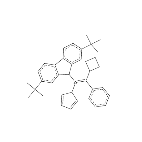 CC(C)(C)c1ccc2c(c1)[CH]([Zr](=[C](c1ccccc1)C1CCC1)[CH]1C=CC=C1)c1cc(C(C)(C)C)ccc1-2